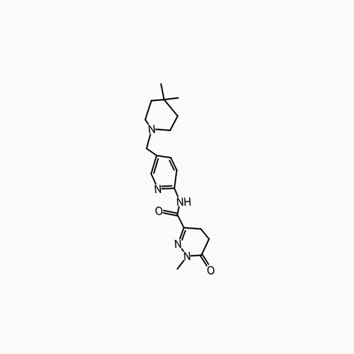 CN1N=C(C(=O)Nc2ccc(CN3CCC(C)(C)CC3)cn2)CCC1=O